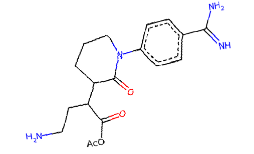 CC(=O)OC(=O)C(CCN)C1CCCN(c2ccc(C(=N)N)cc2)C1=O